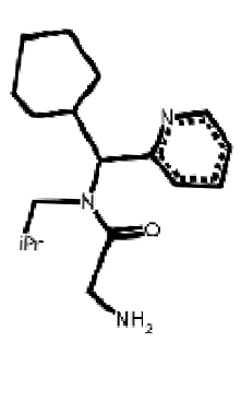 CC(C)CN(C(=O)CN)C(c1ccccn1)C1CCCCC1